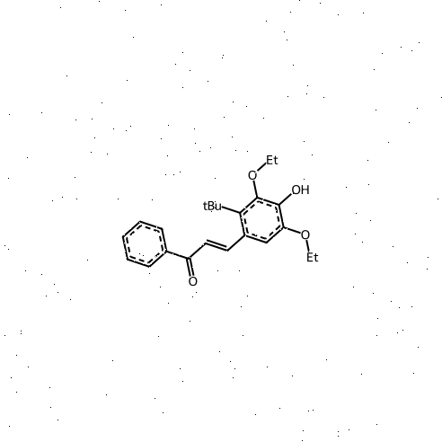 CCOc1cc(C=CC(=O)c2ccccc2)c(C(C)(C)C)c(OCC)c1O